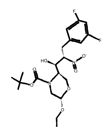 CCO[C@@H]1CN(C(=O)OC(C)(C)C)[C@@H]([C@@H](O)[C@H](Cc2cc(F)cc(F)c2)[N+](=O)[O-])CO1